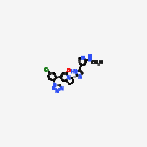 O=C(O)Nc1cc(-c2cnc([C@@H]3CCc4cc(-c5cc(Cl)ccc5-n5cnnn5)cc(=O)n43)[nH]2)ccn1